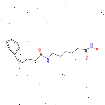 O=C(CCCCCNC(=O)CC/C=C\c1ccccc1)NO